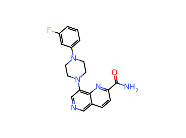 NC(=O)c1ccc2cncc(N3CCN(c4cccc(F)c4)CC3)c2n1